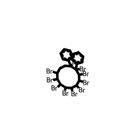 BrC1CCC(Br)(c2ccccc2)C(Br)(c2ccccc2)C(Br)C(Br)C(Br)C(Br)C(Br)C(Br)C1Br